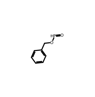 O=[PH]OCc1ccccc1